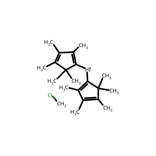 CC1=C(C)C(C)(C)[C]([Hf][C]2=C(C)C(C)=C(C)C2(C)C)=C1C.CCl